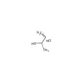 C=CC(C)O.Cl